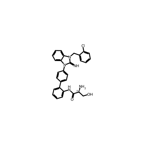 N=c1n(Cc2ccccc2Cl)c2ccccc2n1-c1ccc(-c2ccccc2NC(=O)[C@@H](N)CO)cc1